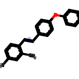 O=[N+]([O-])c1ccc(/C=C/c2ccc(Oc3ccccc3)cc2)c([N+](=O)[O-])c1